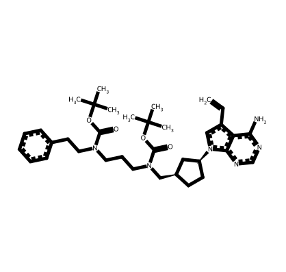 C=Cc1cn([C@H]2CC[C@@H](CN(CCCN(CCc3ccccc3)C(=O)OC(C)(C)C)C(=O)OC(C)(C)C)C2)c2ncnc(N)c12